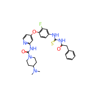 CN(C)C1CCN(C(=O)Nc2cc(Oc3ccc(NC(=S)NC(=O)Cc4ccccc4)cc3F)ccn2)CC1